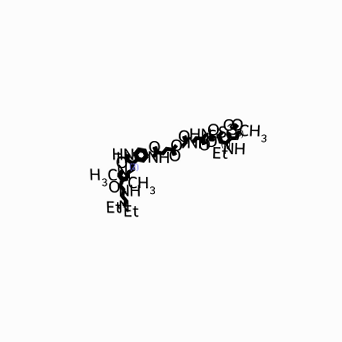 CCN[C@H]1C=C(S(=O)(=O)NC(=O)CNC(=O)COC(=O)CCC(=O)Nc2ccc3c(c2)/C(=C/c2[nH]c(C)c(C(=O)NCCN(CC)CC)c2C)C(=O)N3)SC2=C1C[C@H](C)S2(=O)=O